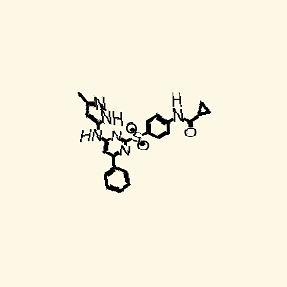 Cc1cc(Nc2cc(-c3ccccc3)nc(S(=O)(=O)c3ccc(NC(=O)C4CC4)cc3)n2)[nH]n1